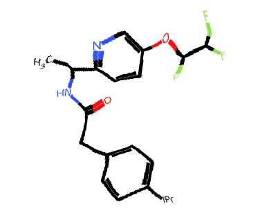 CC(C)c1ccc(CC(=O)NC(C)c2ccc(OC(F)C(F)F)cn2)cc1